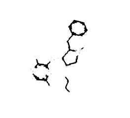 CCc1cnc(CC)c(N[C@@H]2C(Cc3ccccc3)N(C(=O)O)C[C@@H]2OCCF)n1